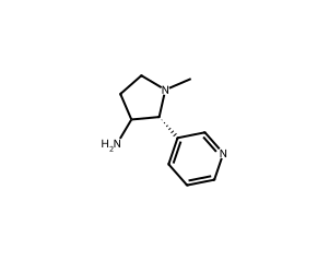 CN1CCC(N)[C@H]1c1cccnc1